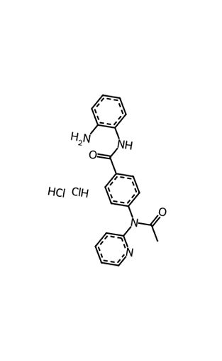 CC(=O)N(c1ccc(C(=O)Nc2ccccc2N)cc1)c1ccccn1.Cl.Cl